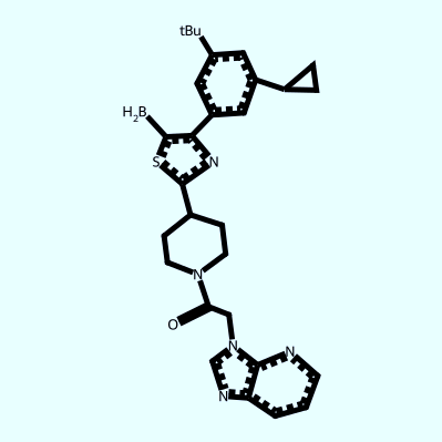 Bc1sc(C2CCN(C(=O)Cn3cnc4cccnc43)CC2)nc1-c1cc(C2CC2)cc(C(C)(C)C)c1